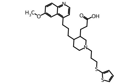 COc1ccc2nccc(CCCC3CCN(CCCSc4cccs4)CC3CCC(=O)O)c2c1